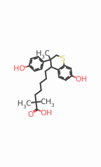 CC(C)(CCCCCC1c2ccc(O)cc2SCC1(C)c1ccc(O)cc1)C(=O)O